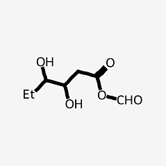 CCC(O)C(O)CC(=O)OC=O